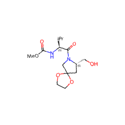 COC(=O)N[C@H](C(=O)N1CC2(C[C@H]1CO)OCCO2)C(C)C